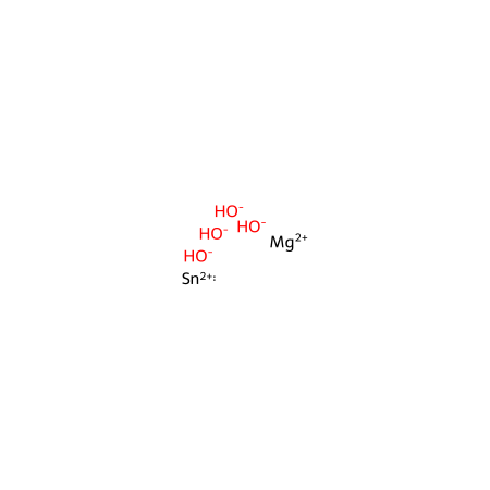 [Mg+2].[OH-].[OH-].[OH-].[OH-].[Sn+2]